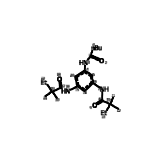 CCCCC(=O)Nc1cc(NC(=O)C(C)(C)CC)cc(NC(=O)C(C)(C)CC)c1